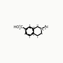 CC(=O)N1CCc2ccc(C(=O)O)cc2C1